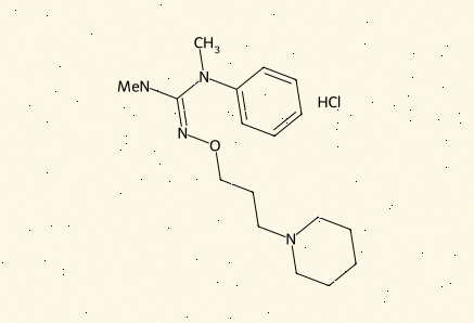 CNC(=NOCCCN1CCCCC1)N(C)c1ccccc1.Cl